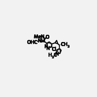 CNC(=O)/C(=C\NC=O)c1cc(C2CC2[C@H](C)c2ccn(C)c2)c(Cl)nn1